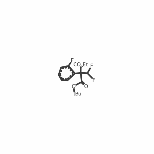 CCOC(=O)C(C(=O)OC(C)(C)C)(c1ccccc1F)C(F)F